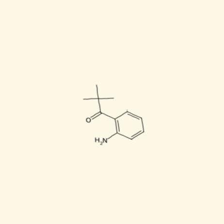 CC(C)(C)C(=O)c1[c]cccc1N